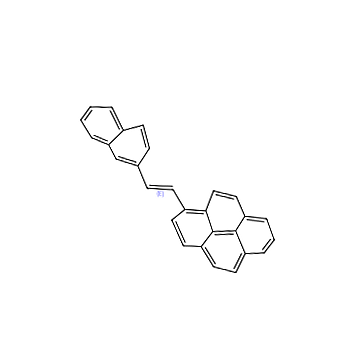 C(=C\c1ccc2ccc3cccc4ccc1c2c34)/c1ccc2ccccc2c1